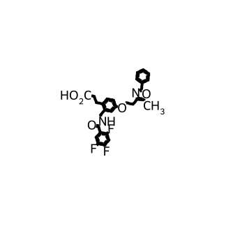 Cc1oc(-c2ccccc2)nc1CCOc1ccc(CCC(=O)O)c(CNC(=O)c2cc(F)c(F)cc2F)c1